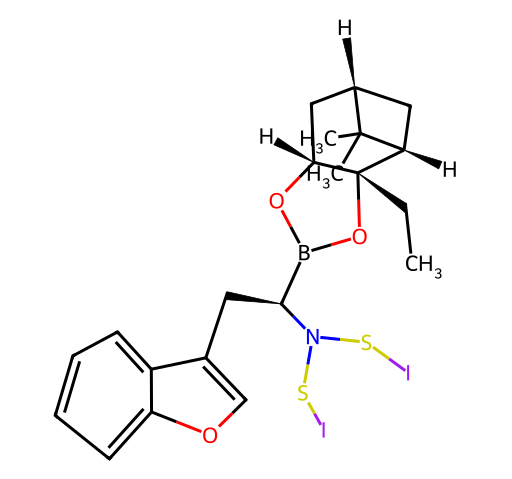 CC[C@@]12OB([C@H](Cc3coc4ccccc34)N(SI)SI)O[C@@H]1C[C@@H]1C[C@H]2C1(C)C